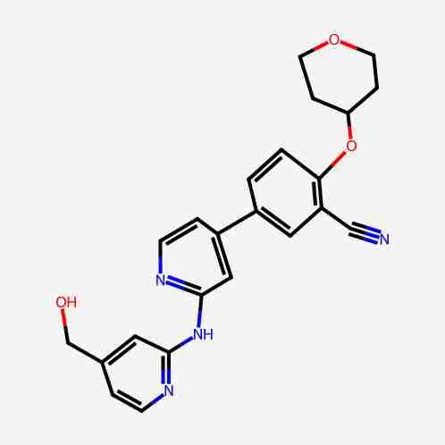 N#Cc1cc(-c2ccnc(Nc3cc(CO)ccn3)c2)ccc1OC1CCOCC1